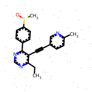 CCc1ncnc(-c2ccc([S+](C)[O-])cc2)c1C#Cc1ccc(C)nc1